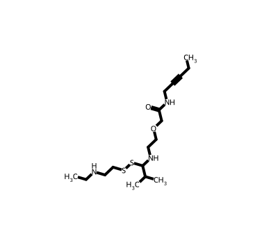 CCC#CCNC(=O)COCCNC(SSCCNCC)C(C)C